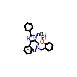 CCCCN(Cc1ccccc1OCC)Cc1c(-c2ccccc2)nc(-c2ccccc2)n1CCCC